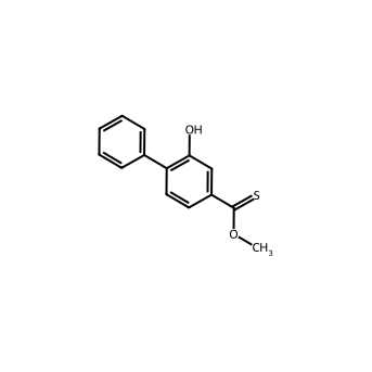 COC(=S)c1ccc(-c2ccccc2)c(O)c1